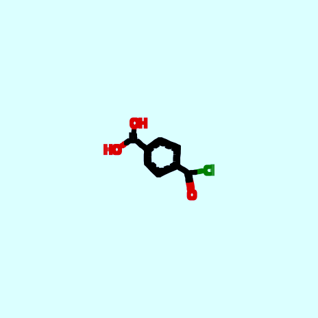 O=C(Cl)c1ccc(B(O)O)cc1